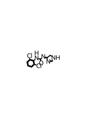 O=C(N=C1CNC=N1)Nc1c(Cl)cccc1Cl